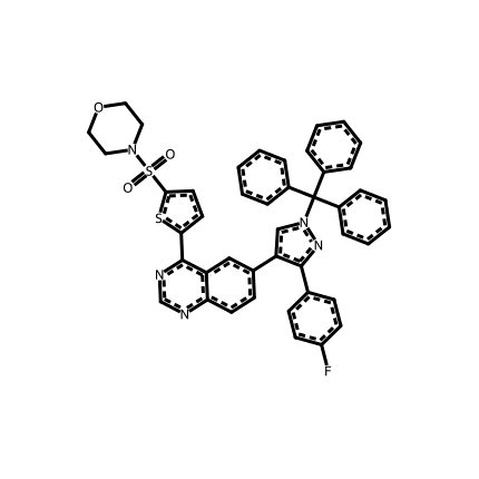 O=S(=O)(c1ccc(-c2ncnc3ccc(-c4cn(C(c5ccccc5)(c5ccccc5)c5ccccc5)nc4-c4ccc(F)cc4)cc23)s1)N1CCOCC1